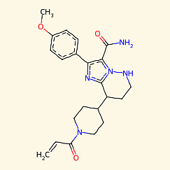 C=CC(=O)N1CCC(C2CCNn3c2nc(-c2ccc(OC)cc2)c3C(N)=O)CC1